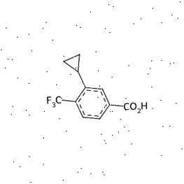 O=C(O)c1ccc(C(F)(F)F)c(C2CC2)c1